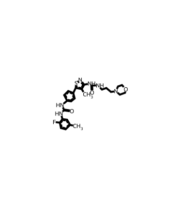 Cc1ccc(F)c(NC(=O)Nc2ccc(-c3snc(NC(=O)NCCCN4CCOCC4)c3C)cc2)c1